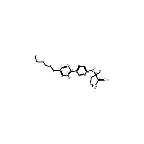 CCCCCCc1cnc(-c2ccc(OC(C)(CC)C(=O)O)cc2)nc1